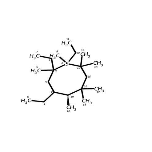 CCC1CC(C)(CC)S(C)(CC)C(C)(C)CC(C)(C)[C@H]1C